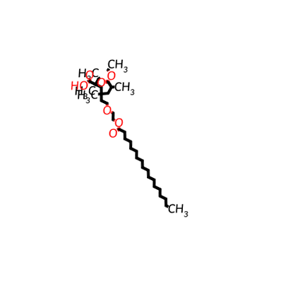 CCCCCCCCCCCCCCCCCC(=O)OCCOCCC(C)(CC(C)C(=O)OCC)CC(C)(CC)C(=O)O